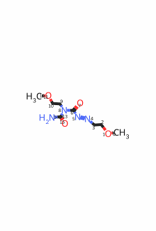 COCCN=NC(=O)N(CCOC)C(N)=O